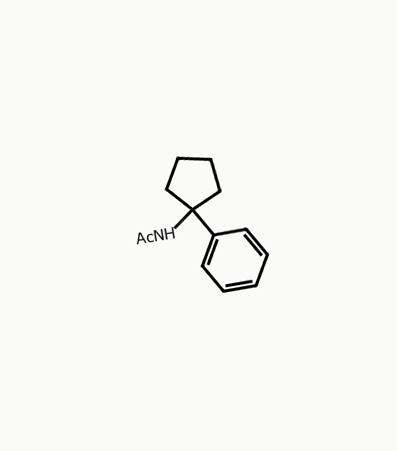 CC(=O)NC1(c2ccccc2)CCCC1